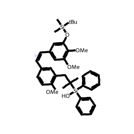 COc1ccc(/C=C\c2cc(OC)c(OC)c(O[Si](C)(C)C(C)(C)C)c2)cc1CC(C)(C)[Si](O)(c1ccccc1)c1ccccc1